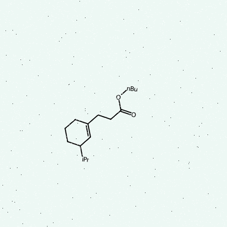 CCCCOC(=O)CCC1=CC(C(C)C)CCC1